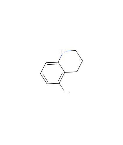 CC(=O)Oc1cccc2c1CC[C]N2